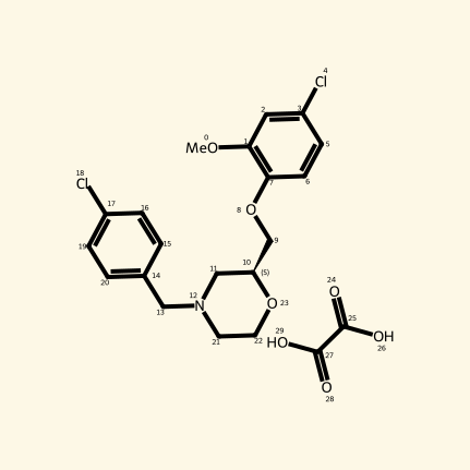 COc1cc(Cl)ccc1OC[C@@H]1CN(Cc2ccc(Cl)cc2)CCO1.O=C(O)C(=O)O